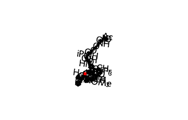 CC[C@H](C)[C@@H]([C@@H](CC(=O)N1CCC[C@H]1[C@H](OC)[C@@H](C)C(=O)N[C@@H](Cc1ccccc1)c1nccs1)OC)N(C)C(=O)CNC(=O)C(C(C)C)N(C)C(=O)OC(C(=O)N1CCN(C)CC1)c1ccc(NC(=O)CNC(=O)C(NC(=O)CCOCCOCCNC(=O)CCN(C(C)=O)C(=O)F)C(C)C)cc1